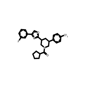 O=C(C1CCCC1)N1CC(c2ccc(C(F)(F)F)cc2)CC(c2nc(-c3cccc(F)c3)co2)C1